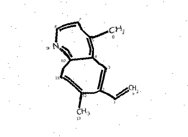 C=Cc1cc2c(C)ccnc2cc1C